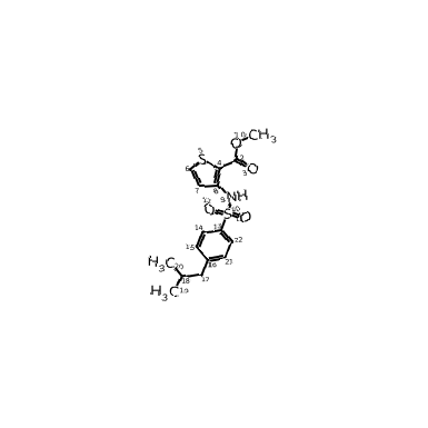 COC(=O)c1sccc1NS(=O)(=O)c1ccc(CC(C)C)cc1